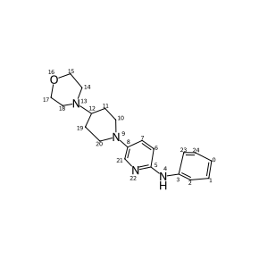 c1ccc(Nc2ccc(N3CCC(N4CCOCC4)CC3)cn2)cc1